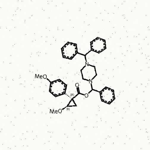 COc1ccc([C@]2(C(=O)OC(c3ccccc3)N3CCN(C(c4ccccc4)c4ccccc4)CC3)C[C@H]2OC)cc1